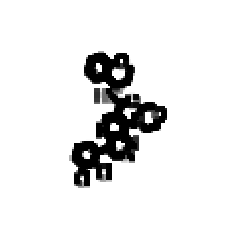 O=C(N[C@H]1CCOc2ccccc21)c1cnc2c(-c3cccc(Cl)c3Cl)cnnc2c1N1CCOCC1